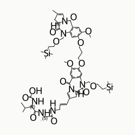 COc1cc2c(cc1OCCCOc1cc3c(cc1OC)C(=O)N1C=C(C=CCNC(=O)[C@H](C)NC(=O)[C@H](NC(=O)O)C(C)C)C[C@H]1C(=O)N3COCC[Si](C)(C)C)N(COCC[Si](C)(C)C)C(=O)[C@@H]1CC(C)=CN1C2=O